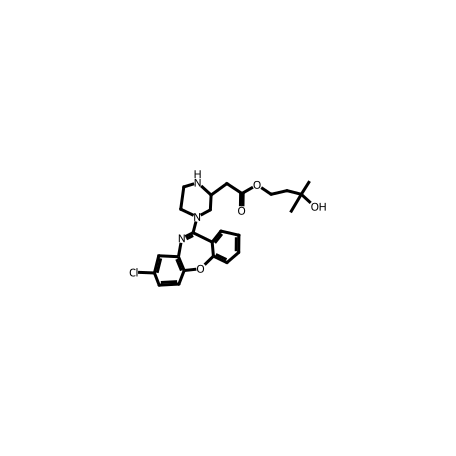 CC(C)(O)CCOC(=O)CC1CN(C2=Nc3cc(Cl)ccc3Oc3ccccc32)CCN1